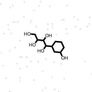 OCC(O)C(O)C(O)C1CCCC(O)C1